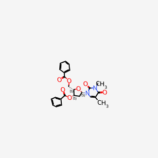 Cc1cn([C@@H]2C[C@H](OC(=O)c3ccccc3)[C@H](COC(=O)c3ccccc3)O2)c(=O)n(C)c1=O